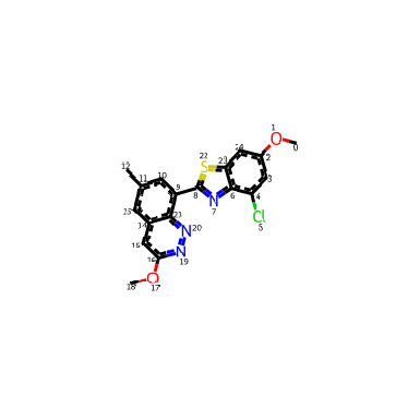 COc1cc(Cl)c2nc(-c3cc(C)cc4cc(OC)nnc34)sc2c1